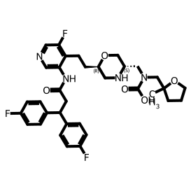 CC1(CN(C[C@H]2CO[C@H](CCc3c(F)cncc3NC(=O)CC(c3ccc(F)cc3)c3ccc(F)cc3)CN2)C(=O)O)CCCO1